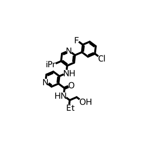 CCC(CO)NC(=O)c1cnccc1Nc1cc(-c2cc(Cl)ccc2F)ncc1C(C)C